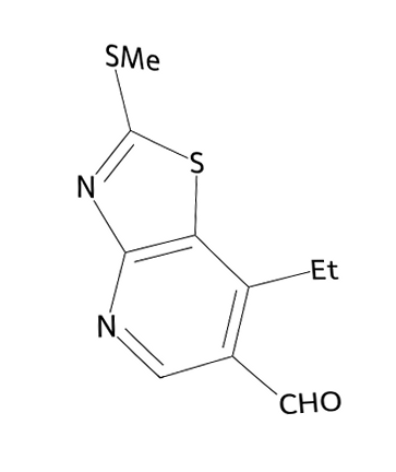 CCc1c(C=O)cnc2nc(SC)sc12